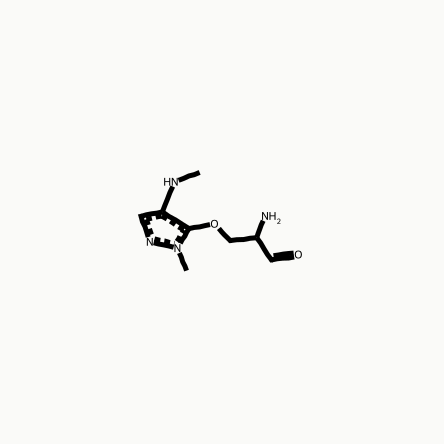 CNc1cnn(C)c1OCC(N)C=O